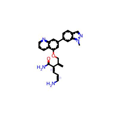 C=C(COc1cc(-c2ccc3cnn(C)c3c2)cc2ncccc12)/C(=C\C=C/N)C(N)=O